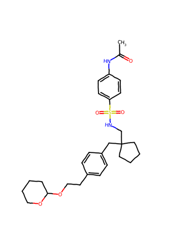 CC(=O)Nc1ccc(S(=O)(=O)NCC2(Cc3ccc(CCOC4CCCCO4)cc3)CCCC2)cc1